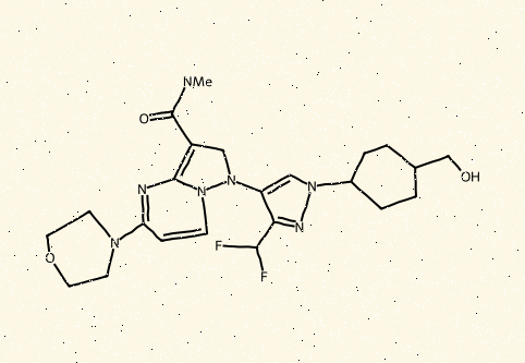 CNC(=O)C1=C2N=C(N3CCOCC3)C=CN2N(c2cn(C3CCC(CO)CC3)nc2C(F)F)C1